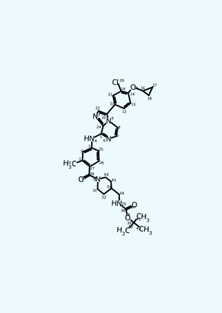 Cc1cc(Nc2nccn3c(-c4ccc(OC5CC5)c(Cl)c4)cnc23)ccc1C(=O)N1CCC(CNC(=O)OC(C)(C)C)CC1